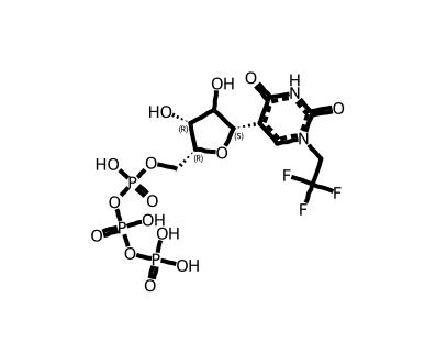 O=c1[nH]c(=O)n(CC(F)(F)F)cc1[C@@H]1O[C@H](COP(=O)(O)OP(=O)(O)OP(=O)(O)O)[C@H](O)C1O